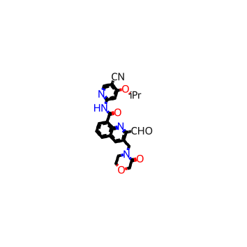 CC(C)Oc1cc(NC(=O)c2cccc3cc(CN4CCOCC4=O)c(C=O)nc23)ncc1C#N